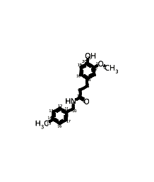 COc1cc(CCC(=O)NCc2ccc(C)cc2)ccc1O